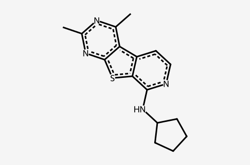 Cc1nc(C)c2c(n1)sc1c(NC3CCCC3)nccc12